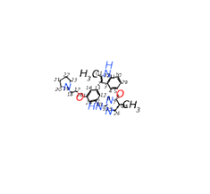 Cc1cc2cc(OC3N=C(Nc4cccc(OCCN5CCCC5)c4)N=CC3C)ccc2[nH]1